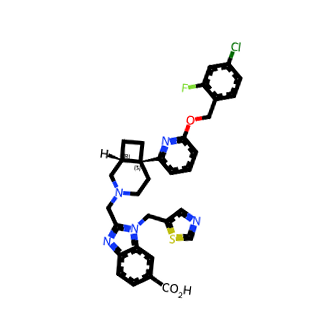 O=C(O)c1ccc2nc(CN3CC[C@@]4(c5cccc(OCc6ccc(Cl)cc6F)n5)CC[C@H]4C3)n(Cc3cncs3)c2c1